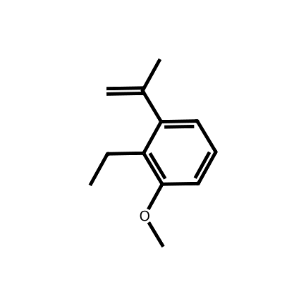 C=C(C)c1cccc(OC)c1CC